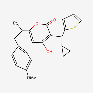 CCC(Cc1ccc(OC)cc1)c1cc(O)c(C(c2cccs2)C2CC2)c(=O)o1